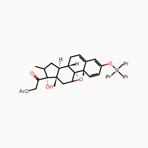 CC(=O)OCC(=O)[C@@]1(O)C(C)C[C@H]2[C@@H]3CC=C4C=C(O[Si](C(C)C)(C(C)C)C(C)C)C=C[C@]4(C)[C@]34OC4C[C@@]21C